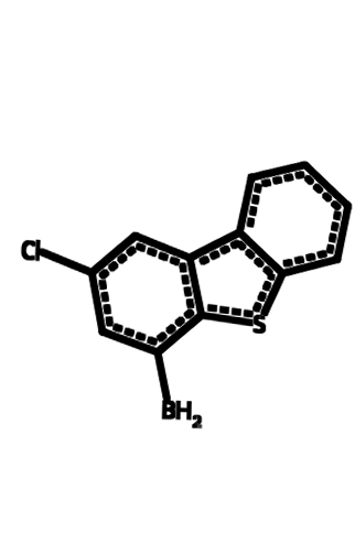 Bc1cc(Cl)cc2c1sc1ccccc12